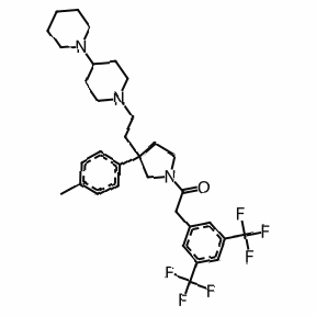 Cc1ccc(C2(CCN3CCC(N4CCCCC4)CC3)CCN(C(=O)Cc3cc(C(F)(F)F)cc(C(F)(F)F)c3)C2)cc1